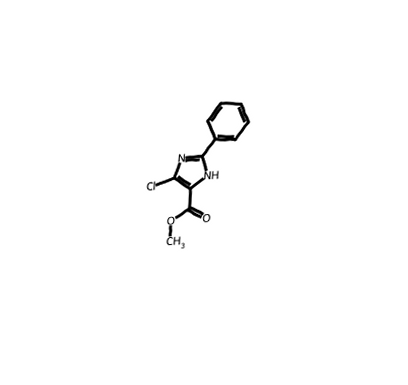 COC(=O)c1[nH]c(-c2ccccc2)nc1Cl